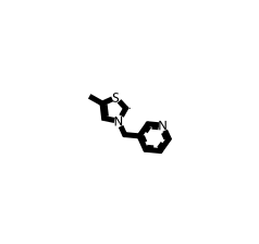 CC1=CN(Cc2cccnc2)[CH]S1